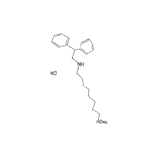 CCCCCCCCCCCCCCCCCCNCC(c1ccccc1)c1ccccc1.Cl